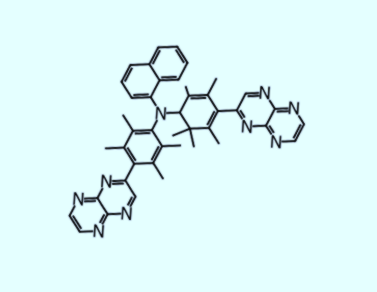 CC1=C(C)C(N(c2c(C)c(C)c(-c3cnc4nccnc4n3)c(C)c2C)c2cccc3ccccc23)C(C)(C)C(C)=C1c1cnc2nccnc2n1